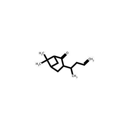 C=CCC(C)C1CC2CC(C1=O)C2(C)C